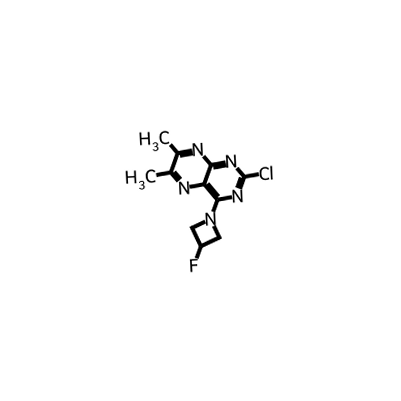 Cc1nc2nc(Cl)nc(N3CC(F)C3)c2nc1C